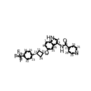 O=C(Nc1c[nH]c2ccc(O[C@H]3C[C@H](c4ccc(C(F)(F)F)cc4)C3)cc12)c1ccncc1